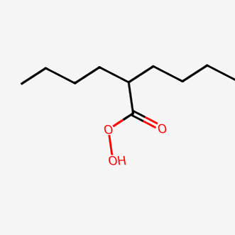 CCCCC(CCCC)C(=O)OO